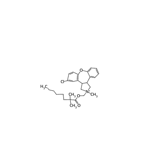 CCCCCCC(C)(C)C(=O)OC[N+]1(C)CC2c3ccccc3Oc3ccc(Cl)cc3C2C1